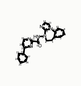 O=C(NN1CCc2ccccc2-n2ccnc21)c1nccc(-c2ccccc2)n1